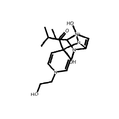 CCC1N(O)C2=C[N+]1(O)N2C1(C(=O)C(C)C)C=CN(CCO)C=C1